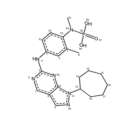 Cc1cc(Nc2ncc3cnn(C4CCCCCC4)c3n2)ccc1N(C)P(=O)(O)O